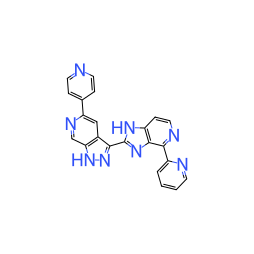 c1ccc(-c2nccc3[nH]c(-c4n[nH]c5cnc(-c6ccncc6)cc45)nc23)nc1